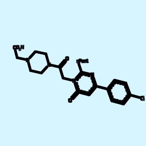 CCCCCc1nc(-c2ccc(Cl)cc2)cc(=O)n1CC(=O)N1CCN(CC(=O)O)CC1